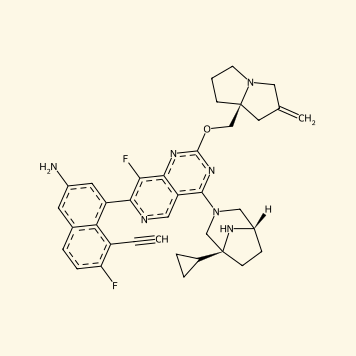 C#Cc1c(F)ccc2cc(N)cc(-c3ncc4c(N5C[C@@H]6CC[C@](C7CC7)(C5)N6)nc(OC[C@@]56CCCN5CC(=C)C6)nc4c3F)c12